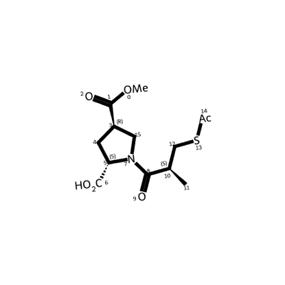 COC(=O)[C@@H]1C[C@@H](C(=O)O)N(C(=O)[C@H](C)CSC(C)=O)C1